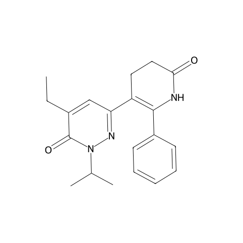 CCc1cc(C2=C(c3ccccc3)NC(=O)CC2)nn(C(C)C)c1=O